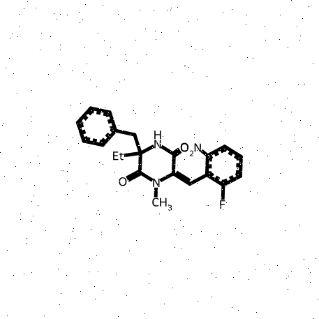 CCC1(Cc2ccccc2)NC(=O)/C(=C\c2c(F)cccc2[N+](=O)[O-])N(C)C1=O